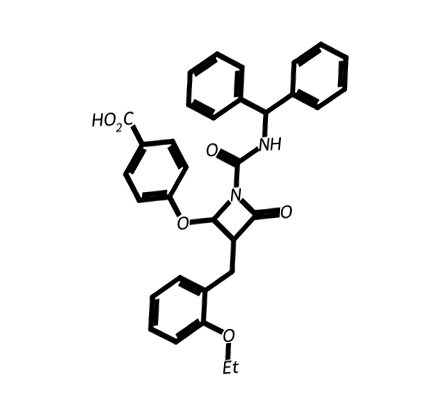 CCOc1ccccc1CC1C(=O)N(C(=O)NC(c2ccccc2)c2ccccc2)C1Oc1ccc(C(=O)O)cc1